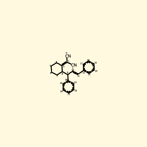 N#CC(C#N)=C1CCCCC1C(C=Cc1ccccc1)c1ccccc1